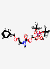 CN(CCOCc1ccccc1)C(=O)OCOP(=O)(OC(C)(C)C)OC(C)(C)C